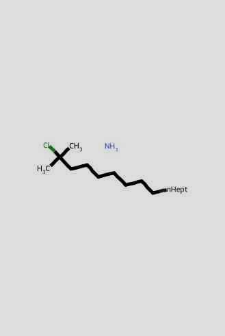 CCCCCCCCCCCCCCC(C)(C)Cl.N